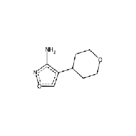 Nc1nocc1C1CCOCC1